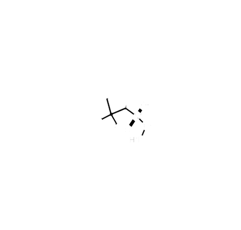 CC(C)(C)CS(=O)(=O)OP